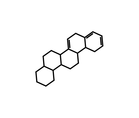 C1=CCC2C(=C1)CC=C1C2CCC2C1CCC1CCCCC12